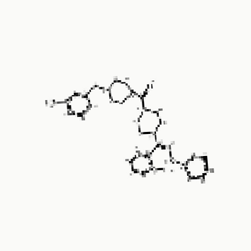 Nc1cc(CN2CCC(C(=O)N3CCC(C(=NOc4ccccc4)c4ncccc4F)CC3)CC2)ccn1